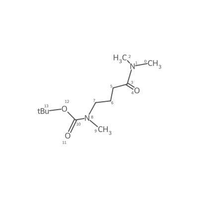 CN(C)C(=O)CCCN(C)C(=O)OC(C)(C)C